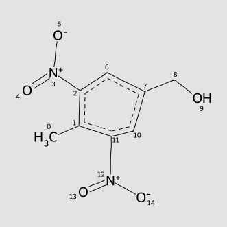 Cc1c([N+](=O)[O-])cc(CO)cc1[N+](=O)[O-]